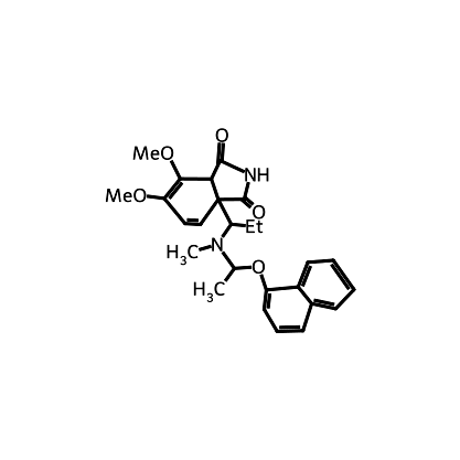 CCC(N(C)C(C)Oc1cccc2ccccc12)C12C=CC(OC)=C(OC)C1C(=O)NC2=O